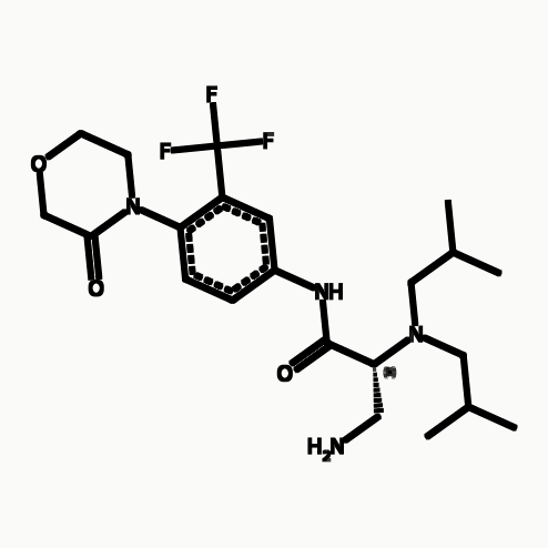 CC(C)CN(CC(C)C)[C@H](CN)C(=O)Nc1ccc(N2CCOCC2=O)c(C(F)(F)F)c1